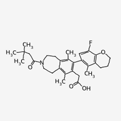 Cc1c(-c2c(C)c3c(c(C)c2CC(=O)O)CCN(C(=O)CC(C)(C)C)CC3)cc(F)c2c1CCCO2